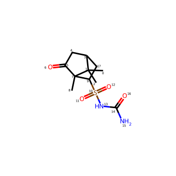 CC1(C)C2CC(=O)C1(C)C(S(=O)(=O)NC(N)=O)C2